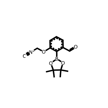 [C-]#[N+]COc1cccc(C=O)c1B1OC(C)(C)C(C)(C)O1